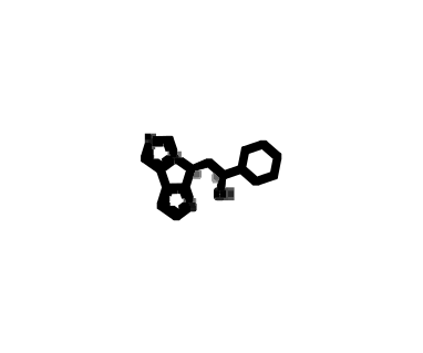 O[C@@H](C[C@H]1c2sccc2-c2cncn21)C1CCCCC1